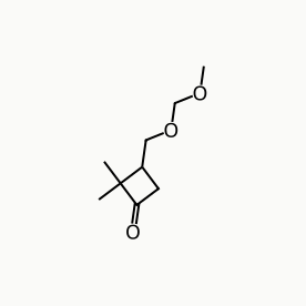 COCOCC1CC(=O)C1(C)C